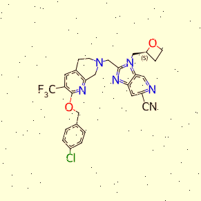 N#Cc1cc2nc(CN3CCc4cc(C(F)(F)F)c(OCc5ccc(Cl)cc5)nc4C3)n(C[C@@H]3CCO3)c2cn1